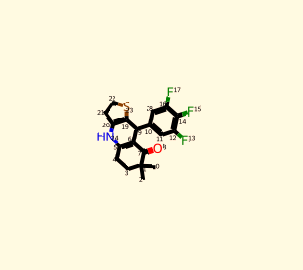 CC1(C)CCC2=C(C1=O)C(c1cc(F)c(F)c(F)c1)C1=C(CCS1)N2